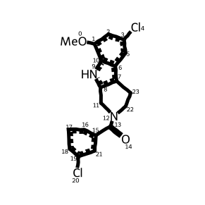 COc1cc(Cl)cc2c3c([nH]c12)CN(C(=O)c1cccc(Cl)c1)CC3